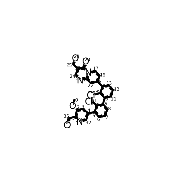 COc1cc(-c2cccc(-c3cccc(-c4ccn5c(=O)c(C=O)cnc5c4)c3Cl)c2Cl)cnc1C=O